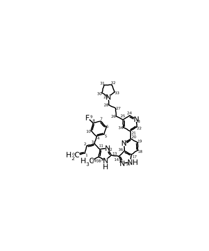 C=C/C=C(/c1cccc(F)c1)c1nc(-c2n[nH]c3ccc(-c4cncc(CCCN5CCCC5)c4)nc23)[nH]c1C